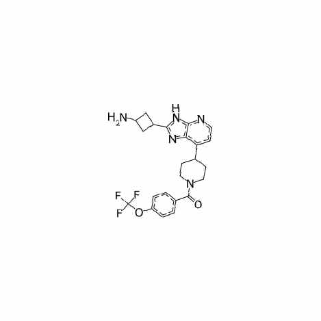 NC1CC(c2nc3c(C4CCN(C(=O)c5ccc(OC(F)(F)F)cc5)CC4)ccnc3[nH]2)C1